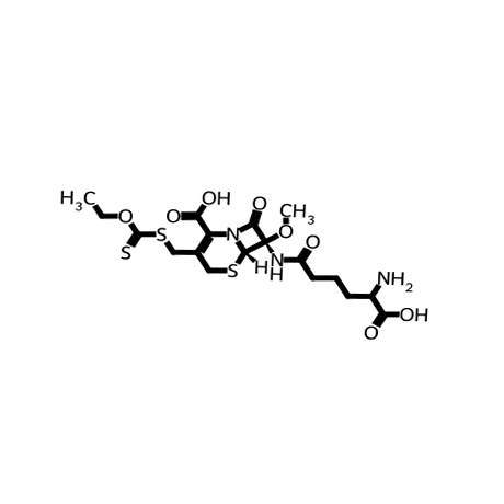 CCOC(=S)SCC1=C(C(=O)O)N2C(=O)[C@](NC(=O)CCCC(N)C(=O)O)(OC)[C@@H]2SC1